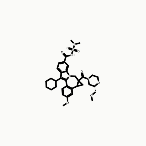 COC[C@@H]1CN(C(=O)C23CC2c2cc(OC)ccc2-c2c(C4CCCCC4)c4ccc(C(=O)NS(=O)(=O)N(C)C)cc4n2C3)CCO1